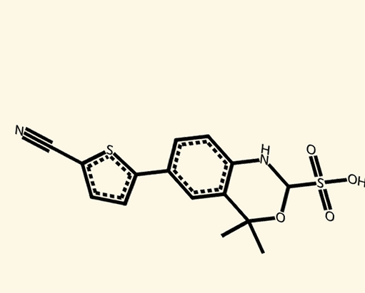 CC1(C)OC(S(=O)(=O)O)Nc2ccc(-c3ccc(C#N)s3)cc21